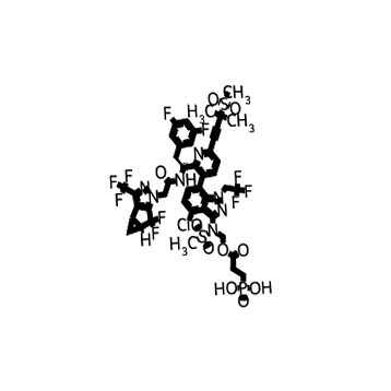 CC(C)(C#Cc1ccc(-c2ccc(Cl)c3c(N(COC(=O)CCP(=O)(O)O)S(C)(=O)=O)nn(CC(F)(F)F)c23)c([C@H](Cc2cc(F)cc(F)c2)NC(=O)Cn2nc(C(F)(F)F)c3c2C(F)(F)[C@@H]2CC32)n1)S(C)(=O)=O